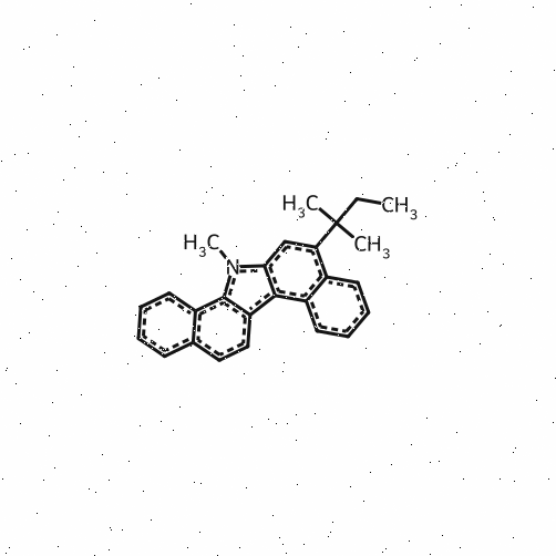 CCC(C)(C)c1cc2c(c3ccccc13)c1ccc3ccccc3c1n2C